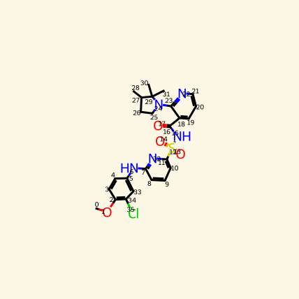 COc1ccc(Nc2cccc(S(=O)(=O)NC(=O)c3cccnc3N3CCC(C)C3(C)C)n2)cc1Cl